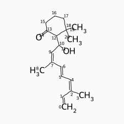 C=CC(C)=CC=CC(C)=CC(O)C1C(=O)CCCC1(C)C